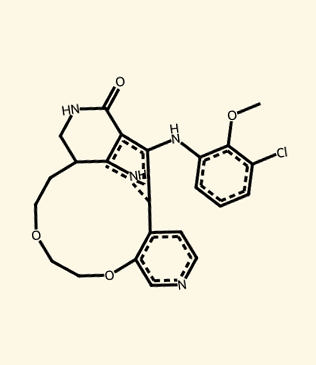 COc1c(Cl)cccc1Nc1c2[nH]c3c1C(=O)NCC3CCOCCOc1cnccc1-2